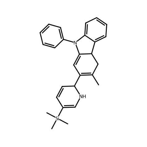 CC1=C(C2C=CC([Si](C)(C)C)=CN2)C=C2C(C1)c1ccccc1N2c1ccccc1